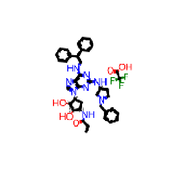 CCC(=O)N[C@H]1C[C@@H](n2cnc3c(NCC(c4ccccc4)c4ccccc4)nc(N[C@@H]4CCN(Cc5ccccc5)C4)nc32)[C@H](O)[C@@H]1O.O=C(O)C(F)(F)F